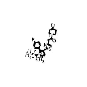 CC(C)(C)n1ncc(-c2nc(CC(=O)N3CCC(=O)CC3)cs2)c1-c1ccc(F)cc1